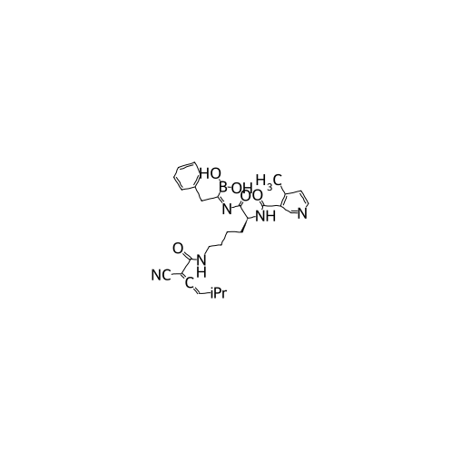 Cc1ccncc1C(=O)N[C@@H](CCCCNC(=O)C(=C=CC(C)C)C#N)C(=O)/N=C(/Cc1ccccc1)B(O)O